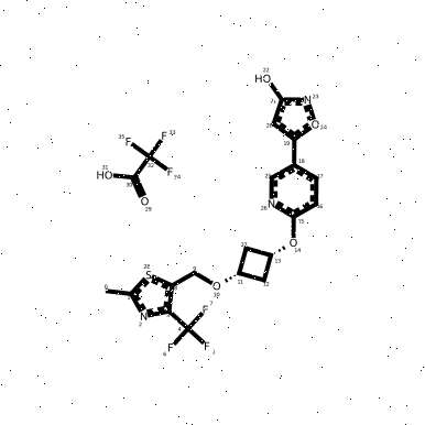 Cc1nc(C(F)(F)F)c(CO[C@H]2C[C@@H](Oc3ccc(-c4cc(O)no4)cn3)C2)s1.O=C(O)C(F)(F)F